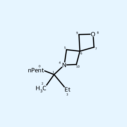 CCCCCC(C)(CC)N1CC2(COC2)C1